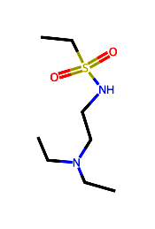 CCN(CC)CCNS(=O)(=O)CC